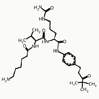 CC(C)C(NC(=O)CCCCCN)C(=O)N[C@@H](CCCNC(N)=O)C(=O)Nc1ccc(CCC(=O)C(C)(C)C)cc1